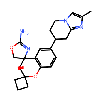 Cc1cn2c(n1)CC(c1ccc3c(c1)C1(COC(N)=N1)C1(COC1)C1(CCC1)O3)CC2